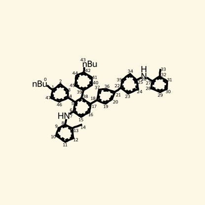 CCCCc1ccc(-c2c(Nc3ccccc3C)ccc(-c3ccc(-c4ccc(Nc5ccccc5C)cc4)cc3)c2-c2ccc(CCCC)cc2)cc1